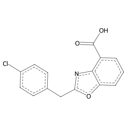 O=C(O)c1cccc2oc(Cc3ccc(Cl)cc3)nc12